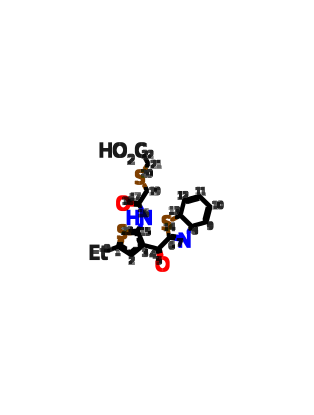 CCc1cc(C(=O)C2=NC3C=CC=CC3S2)c(NC(=O)CSCC(=O)O)s1